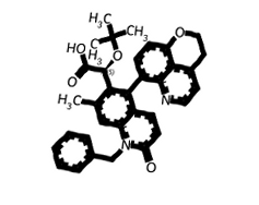 Cc1cc2c(ccc(=O)n2Cc2ccccc2)c(-c2ccc3c4c(ccnc24)CCO3)c1[C@H](OC(C)(C)C)C(=O)O